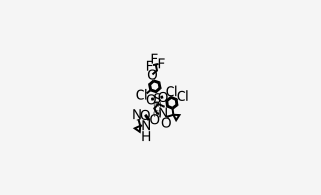 N#CC1(NC(=O)O[C@H]2C[C@@H](S(=O)(=O)c3ccc(OCC(F)(F)F)cc3Cl)CN2C(=O)C2(c3ccc(Cl)c(Cl)c3)CC2)CC1